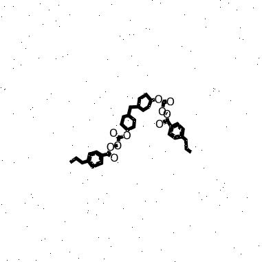 CCCc1ccc(C(=O)OOC(=O)OC2CCC(CC3CCC(OC(=O)OOC(=O)c4ccc(CCC)cc4)CC3)CC2)cc1